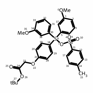 COc1cccc(S(OS(=O)(=O)c2ccc(C)cc2)(c2ccc(OCC(=O)OC(C)(C)C)cc2)c2cccc(OC)c2)c1